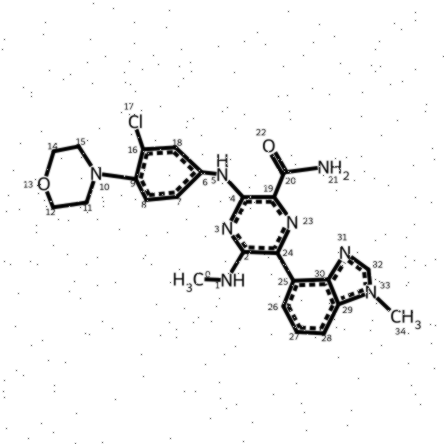 CNc1nc(Nc2ccc(N3CCOCC3)c(Cl)c2)c(C(N)=O)nc1-c1cccc2c1ncn2C